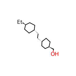 CC[C@H]1CC[C@H](CC[C@H]2CC[C@H](CO)CC2)CC1